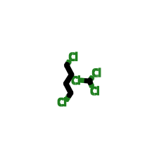 ClC(Cl)Cl.ClCCCCCl